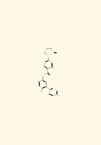 O=C(Nc1ccc(Cl)c(-c2ccc(F)cn2)c1)c1ccc(N2CCCS2(=O)=O)cc1